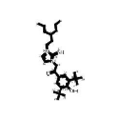 CCCC(CCC)CCn1ccn(CC(=O)c2cc(C(C)(C)C)c(O)c(C(C)(C)C)c2)c1=N